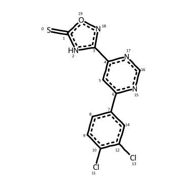 S=c1[nH]c(-c2cc(-c3ccc(Cl)c(Cl)c3)ncn2)no1